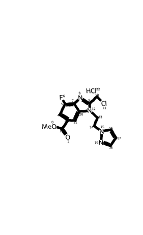 COC(=O)c1cc(F)c2nc(CCl)n(CCn3cccn3)c2c1.Cl